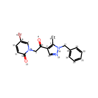 CCc1c(C(=O)Cn2cc(Br)ccc2=O)cnn1Cc1ccccc1